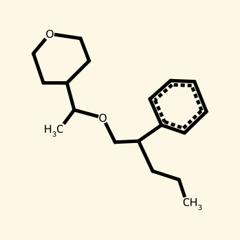 CCCC(COC(C)C1CCOCC1)c1ccccc1